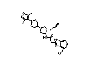 C=CCO[C@H]1CN(C2CCN(c3c(C)noc3C)CC2)CC1NC(=O)Cc1nc2c(C(F)(F)F)cccc2[nH]1